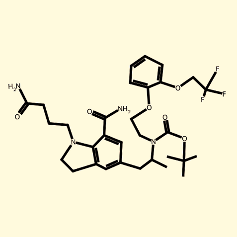 CC(Cc1cc2c(c(C(N)=O)c1)N(CCCC(N)=O)CC2)N(CCOc1ccccc1OCC(F)(F)F)C(=O)OC(C)(C)C